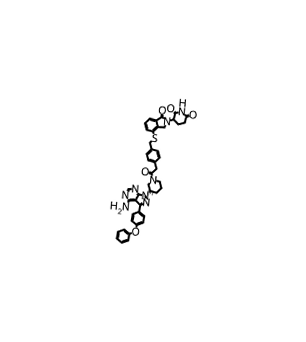 Nc1ncnc2c1c(-c1ccc(Oc3ccccc3)cc1)nn2[C@@H]1CCCN(C(=O)Cc2ccc(CSc3cccc4c3CN(C3CCC(=O)NC3=O)C4=O)cc2)C1